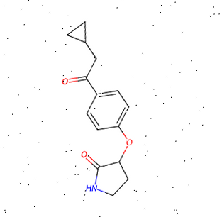 O=C(CC1CC1)c1ccc(OC2CCNC2=O)cc1